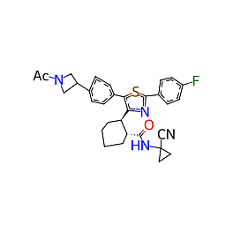 CC(=O)N1CC(c2ccc(-c3sc(-c4ccc(F)cc4)nc3[C@@H]3CCCC[C@H]3C(=O)NC3(C#N)CC3)cc2)C1